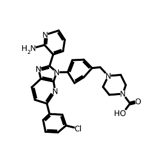 Nc1ncccc1-c1nc2ccc(-c3cccc(Cl)c3)nc2n1-c1ccc(CN2CCN(C(=O)O)CC2)cc1